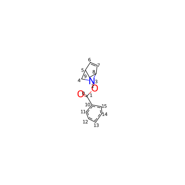 O=C(ON1CC2C=CC1C2)c1ccccc1